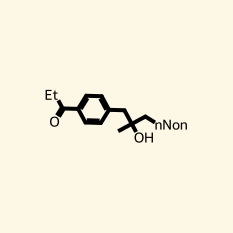 CCCCCCCCCCC(C)(O)Cc1ccc(C(=O)CC)cc1